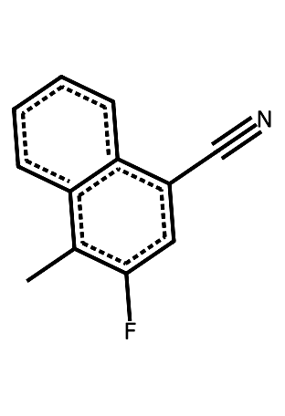 Cc1c(F)cc(C#N)c2ccccc12